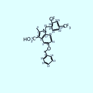 Cc1c(C(=O)O)c2cc(OCc3ccccc3)ccc2n1Cc1ccc(C(F)(F)F)cc1C(F)(F)F